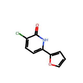 O=c1[nH]c(-c2ccco2)ccc1Cl